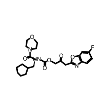 O=C(COC(=O)N[C@@H](CC1CCCCC1)C(=O)N1CCOCC1)Cc1nc2ccc(F)cc2o1